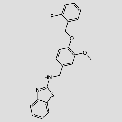 COc1cc(CNc2nc3ccccc3s2)ccc1OCc1ccccc1F